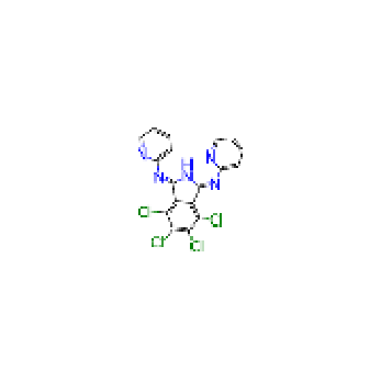 Clc1c(Cl)c(Cl)c2c(c1Cl)/C(=N/c1ccccn1)N/C2=N\c1ccccn1